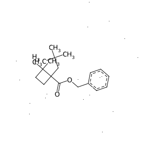 CC(C)(C)CC1(C(=O)OCc2ccccc2)CCC1(C)C